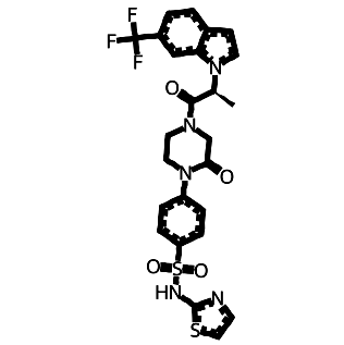 C[C@@H](C(=O)N1CCN(c2ccc(S(=O)(=O)Nc3nccs3)cc2)C(=O)C1)n1ccc2ccc(C(F)(F)F)cc21